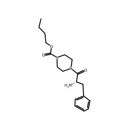 CCCCOC(=O)N1CCN(C(=O)[C@@H](N)Cc2ccccc2)CC1